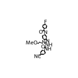 COCCCn1c(NC(=O)Nc2ccc(C#N)cc2)nc2cc(N(C)C(=O)c3ccc(F)cc3)ccc21